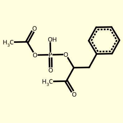 CC(=O)OP(=O)(O)OC(Cc1ccccc1)C(C)=O